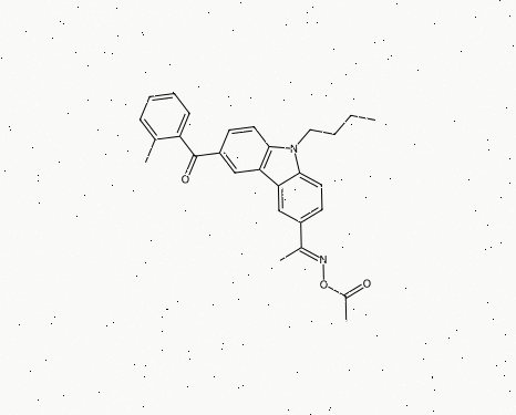 CCCCn1c2ccc(C(=O)c3ccccc3C)cc2c2cc(/C(C)=N/OC(C)=O)ccc21